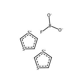 [O-]B([O-])F.c1c[s+]cs1.c1c[s+]cs1